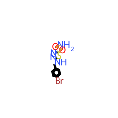 NS(=O)(=O)c1nnc(NCc2ccc(Br)cc2)s1